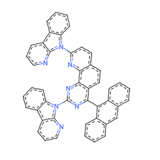 c1ccc2c(-c3nc(-n4c5ccccc5c5cccnc54)nc4c3ccc3ccc(-n5c6ccccc6c6cccnc65)nc34)c3ccccc3cc2c1